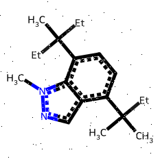 CCC(C)(C)c1ccc(C(C)(CC)CC)c2c1cnn2C